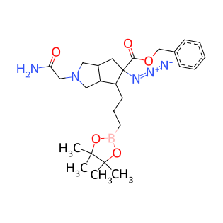 CC1(C)OB(CCCC2C3CN(CC(N)=O)CC3CC2(N=[N+]=[N-])C(=O)OCc2ccccc2)OC1(C)C